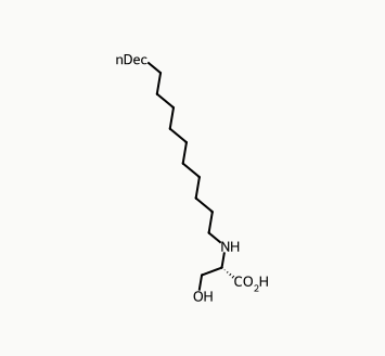 CCCCCCCCCCCCCCCCCCCCN[C@@H](CO)C(=O)O